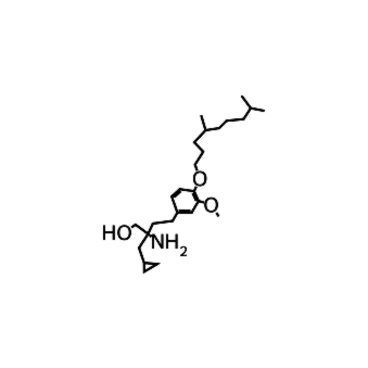 COc1cc(CC[C@@](N)(CO)CC2CC2)ccc1OCCCC(C)CCCC(C)C